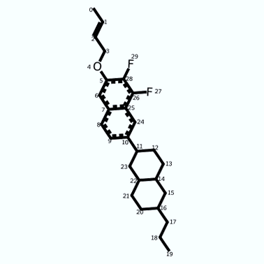 CC=CCOc1cc2ccc(C3CCC4CC(CCC)CCC4C3)cc2c(F)c1F